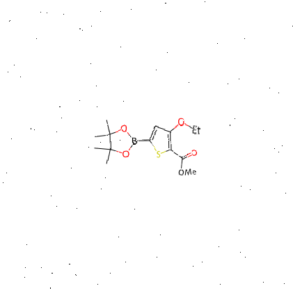 CCOc1cc(B2OC(C)(C)C(C)(C)O2)sc1C(=O)OC